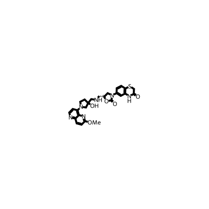 COc1ccc2nccc(N3CCC(O)(CNC[C@@H]4CN(c5ccc6c(c5)NC(=O)CS6)C(=O)O4)C3)c2n1